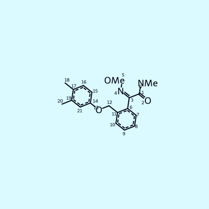 CNC(=O)C(=NOC)c1ccccc1COc1ccc(C)c(C)c1